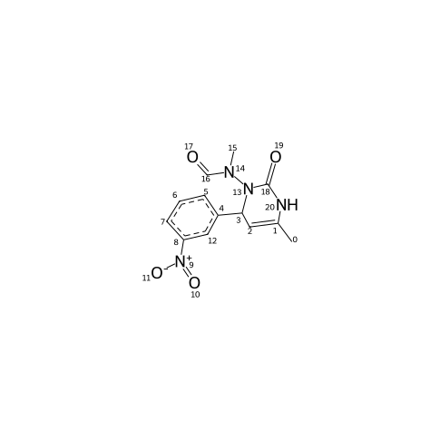 CC1=CC(c2cccc([N+](=O)[O-])c2)N(N(C)C=O)C(=O)N1